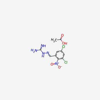 CC(=O)O.N=C(N)NN=Cc1cc(Cl)cc(Cl)c1[N+](=O)[O-]